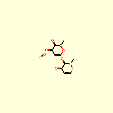 C[c-]1occc(=O)c1=O.C[c-]1occc(=O)c1=O.[O]=[V+2]